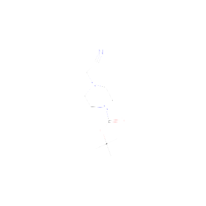 C[C@@H]1CN(CC#N)C[C@H](C)N1C(=O)OC(C)(C)C